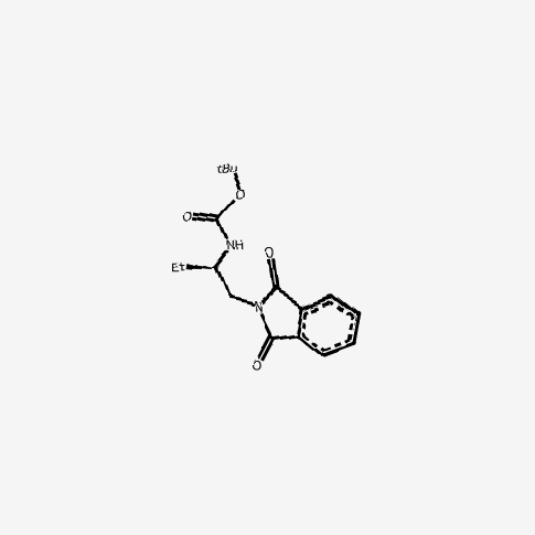 CC[C@H](CN1C(=O)c2ccccc2C1=O)NC(=O)OC(C)(C)C